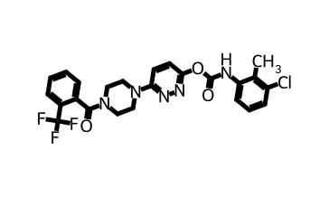 Cc1c(Cl)cccc1NC(=O)Oc1ccc(N2CCN(C(=O)c3ccccc3C(F)(F)F)CC2)nn1